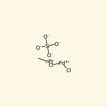 CCCC.[Cl][Pd+4][Cl].[O-][Si]([O-])([O-])[O-]